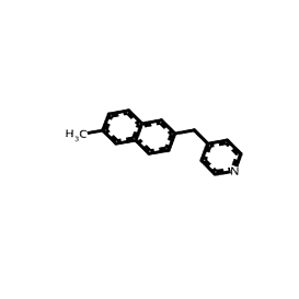 Cc1ccc2cc(Cc3ccncc3)ccc2c1